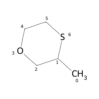 CC1COCCS1